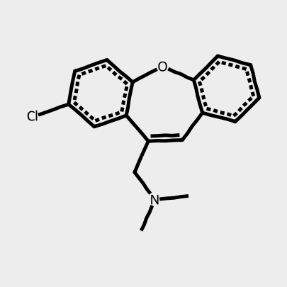 CN(C)CC1=Cc2ccccc2Oc2ccc(Cl)cc21